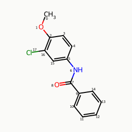 COc1ccc(NC(=O)c2ccccc2)cc1Cl